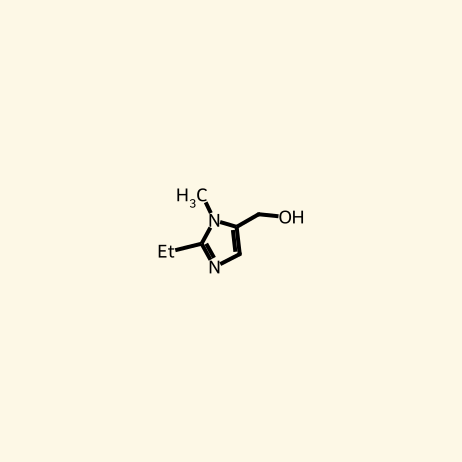 CCc1ncc(CO)n1C